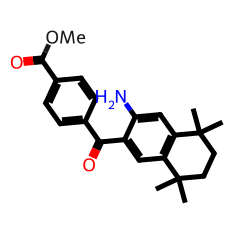 COC(=O)c1ccc(C(=O)c2cc3c(cc2N)C(C)(C)CCC3(C)C)cc1